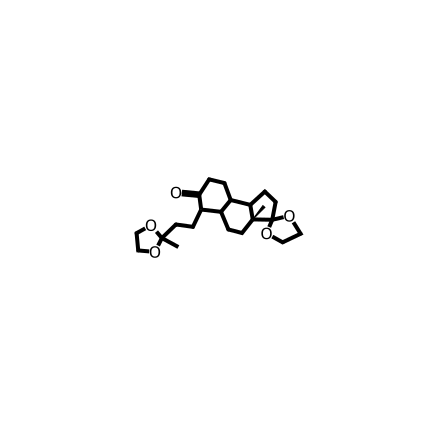 CC1(CCC2C(=O)CCC3C2CC[C@]2(C)C3CCC23OCCO3)OCCO1